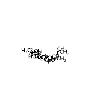 COC(=O)C(O)C(O)C(=O)OC1CC[C@]2(C)C(=CC[C@@H]3[C@H]4CC[C@@H]([C@@H](C)CCCC(C)C)[C@]4(C)CC[C@H]32)C1